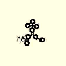 C[Si]1(C)c2ccccc2-c2cc(N(c3ccc(C4CC5CCC4C5)cc3)c3ccc(C4(c5ccccc5)c5ccccc5-c5ccccc54)cc3)ccc21